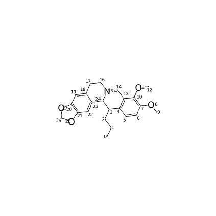 CCCC1c2ccc(OC)c(OC)c2C=[N+]2CCc3cc4c(cc3C12)OCO4